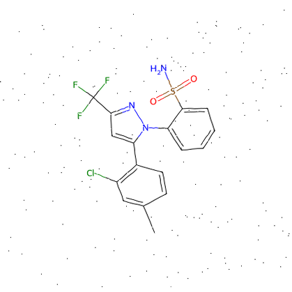 Cc1ccc(-c2cc(C(F)(F)F)nn2-c2ccccc2S(N)(=O)=O)c(Cl)c1